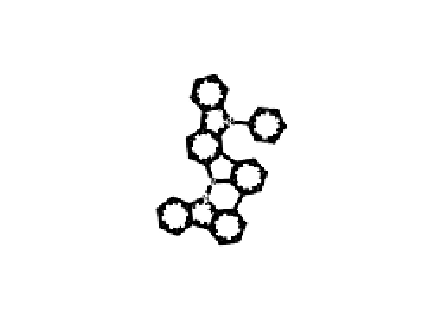 c1ccc(-n2c3ccccc3c3ccc4c(c32)-c2cccc3c2B4n2c4ccccc4c4cccc-3c42)cc1